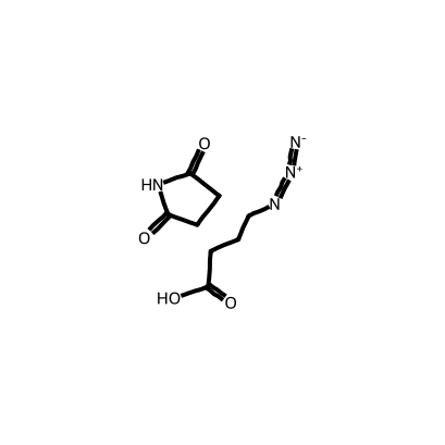 O=C1CCC(=O)N1.[N-]=[N+]=NCCCC(=O)O